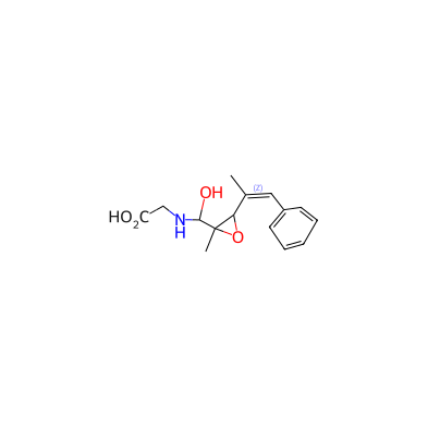 C/C(=C/c1ccccc1)C1OC1(C)C(O)NCC(=O)O